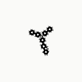 C1=CC2c3ccccc3SC2C=C1c1ccc(N(c2ccc(-c3ccccc3)cc2)c2ccc(-c3ccccc3)cc2)cc1